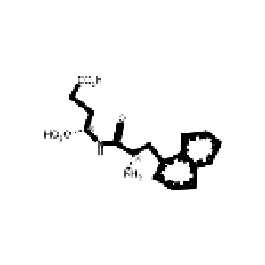 N[C@@H](Cc1cccc2ccccc12)C(=O)N[C@@H](CCC(=O)O)C(=O)O